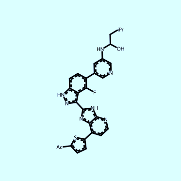 CC(=O)c1ccc(-c2ccnc3[nH]c(-c4n[nH]c5ccc(-c6cncc(NC(O)CC(C)C)c6)c(F)c45)nc23)s1